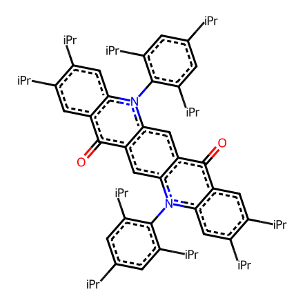 CC(C)c1cc(C(C)C)c(-n2c3cc(C(C)C)c(C(C)C)cc3c(=O)c3cc4c(cc32)c(=O)c2cc(C(C)C)c(C(C)C)cc2n4-c2c(C(C)C)cc(C(C)C)cc2C(C)C)c(C(C)C)c1